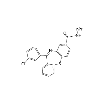 CCCNC(=O)c1ccc2c(c1)N=C(c1cccc(Cl)c1)c1ccccc1S2